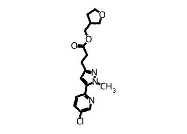 Cn1nc(CCC(=O)OCC2CCOC2)cc1-c1ccc(Cl)cn1